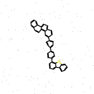 c1ccc2c(c1)ccc1c3cc(-c4ccc(-c5ccc(-c6cccc7c6sc6ccccc67)cc5)cc4)ccc3ccc21